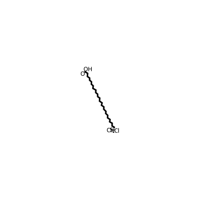 C[Si](Cl)(Cl)CCCCCCCCCCCCCCCCCCCCCCCCCCCC(=O)O